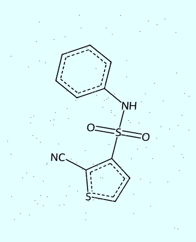 N#Cc1sccc1S(=O)(=O)Nc1ccccc1